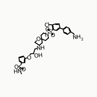 CNS(=O)(=O)c1cccc(OCC(O)CNC2COC3(CCN(S(=O)(=O)c4cc(-c5ccc(CN)cc5)ccc4Cl)CC3)C2)c1